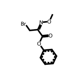 CO/N=C(/CBr)C(=O)Oc1ccccc1